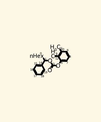 CCCCCCC(OC(=O)Oc1cccc(C)c1C)c1ccccc1